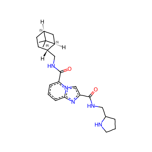 CC1(C)[C@H]2CC[C@@H](CNC(=O)c3cccc4nc(C(=O)NCC5CCCN5)cn34)[C@@H]1C2